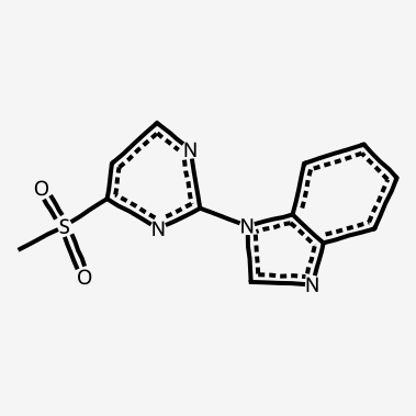 CS(=O)(=O)c1ccnc(-n2cnc3ccccc32)n1